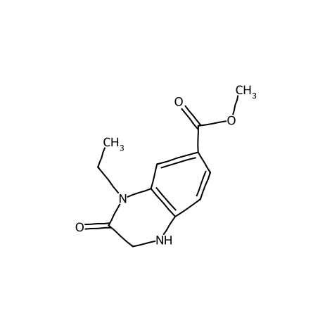 CCN1C(=O)CNc2ccc(C(=O)OC)cc21